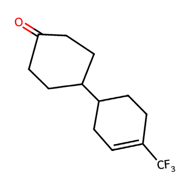 O=C1CCC(C2CC=C(C(F)(F)F)CC2)CC1